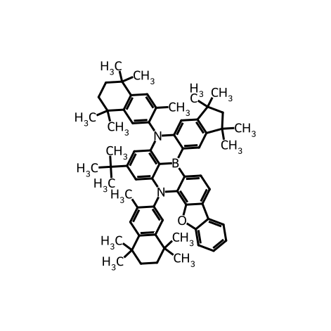 Cc1cc2c(cc1N1c3cc4c(cc3B3c5ccc6c(oc7ccccc76)c5N(c5cc6c(cc5C)C(C)(C)CCC6(C)C)c5cc(C(C)(C)C)cc1c53)C(C)(C)CC4(C)C)C(C)(C)CCC2(C)C